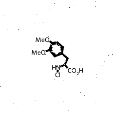 COc1ccc(CC(NCl)C(=O)O)cc1OC